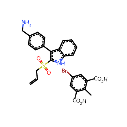 C=CCS(=O)(=O)c1[nH]c2ccccc2c1-c1ccc(CN)cc1.Cc1c(C(=O)O)cc(Br)cc1C(=O)O